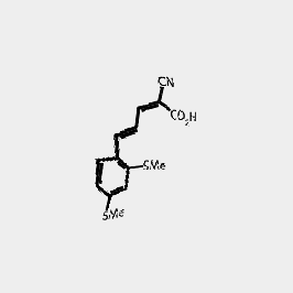 CSc1ccc(C=CC=C(C#N)C(=O)O)c(SC)c1